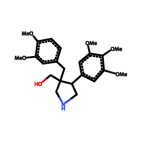 COc1ccc(CC2(CO)CNCC2c2cc(OC)c(OC)c(OC)c2)cc1OC